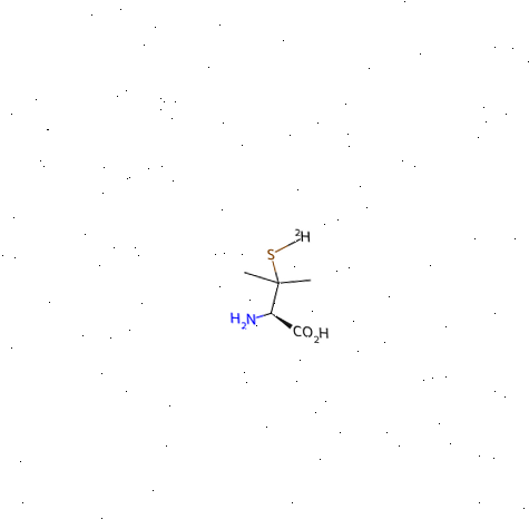 [2H]SC(C)(C)[C@H](N)C(=O)O